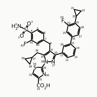 NS(=O)(=O)c1ccc(Cc2c(-c3cccc(-c4ccc(C5CC5)c(F)c4)c3)nn(-c3nc(C(=O)O)cs3)c2CC2CC2)cc1F